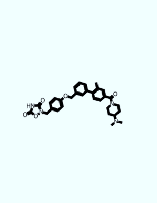 Cc1cc(C(=O)N2CCC(N(C)C)CC2)ccc1-c1cccc(COc2ccc(Cn3oc(=O)[nH]c3=O)cc2)c1